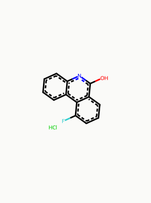 Cl.Oc1nc2ccccc2c2c(F)cccc12